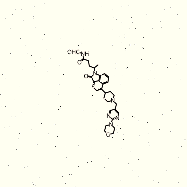 CC(CCC(=O)NC=O)N1C(=O)c2ccc(C3CCN(Cc4cnc(N5CCOCC5)nc4)CC3)c3cccc1c23